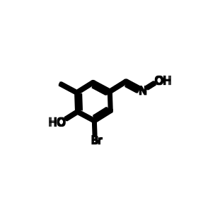 Cc1cc(C=NO)cc(Br)c1O